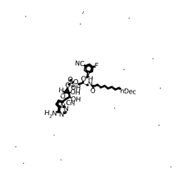 CCCCCCCCCCCCCCCCCC(=O)NC[C@H](COP(=O)(O)OC1[C@H]2O[C@@](C#N)(c3ccc4c(N)ncnn34)[C@H](O)[C@@]12O)OCc1cc(F)cc(C#N)c1